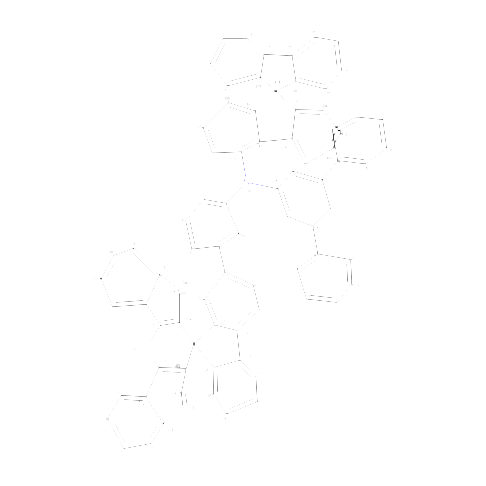 c1ccc(-c2cc(-c3ccccc3)cc(N(c3cccc(-c4ccc5c(c4)C4(c6ccccc6-5)c5ccc6ccccc6c5Oc5c4ccc4ccccc54)c3)c3cccc4c3-c3ccccc3C43c4ccccc4-c4ccccc43)c2)cc1